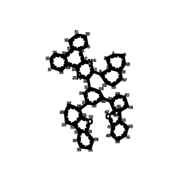 c1ccc2c(-c3nc4c5ccccc5c5ccccc5c4nc3-c3cc(-c4cccc5c4oc4ccccc45)cc(-c4cccc5c4oc4ccccc45)c3)cccc2c1